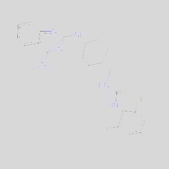 CN(C)c1nc(N[C@H]2CC[C@@H](CNC(=S)Nc3c(Cl)cc(Cl)cc3Cl)CC2)nc2ccccc12